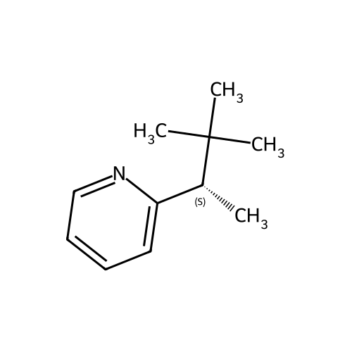 C[C@H](c1ccccn1)C(C)(C)C